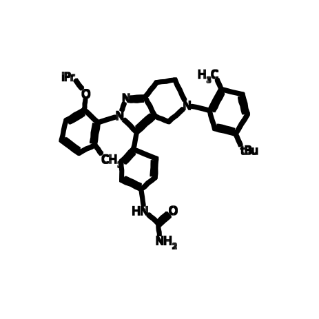 Cc1ccc(C(C)(C)C)cc1N1CCc2nn(-c3c(C)cccc3OC(C)C)c(-c3ccc(NC(N)=O)cc3)c2C1